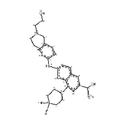 CC(O)c1cc2cnc(Nc3ccc4c(n3)CCN(CCO)C4)nc2c(N2CCC(F)(F)CC2)n1